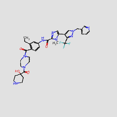 CCc1cc(NC(=O)c2ncc(-c3cn(Cc4cccnc4)nc3C(F)(F)F)n2C)ccc1C(=O)N1CCN(C(=O)C2(O)CCNCC2)CC1